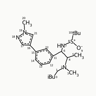 CCC(C)CN(C)C(C)C(N[S+]([O-])C(C)(C)C)c1cccc(-c2cnn(C)c2)c1